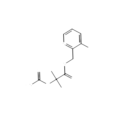 CC(C)(OC(N)=O)C(=O)NCc1ncccc1Cl